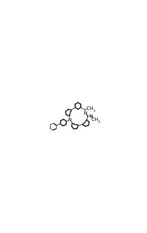 C=N/C1=N\C(C)c2cccc(c2)-c2cccc(c2)N(c2ccc(C3=CCCC=C3)cc2)c2cccc(c2)-c2cccc1c2